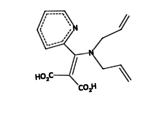 C=CCN(CC=C)C(=C(C(=O)O)C(=O)O)c1ccccn1